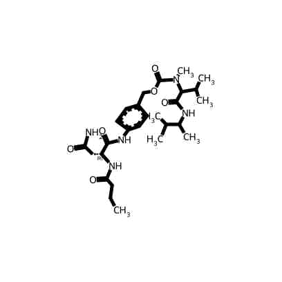 CCCC(=O)N[C@H](CC(N)=O)C(=O)Nc1ccc(COC(=O)N(C)C(C(=O)NC(C)C(C)C)C(C)C)cc1